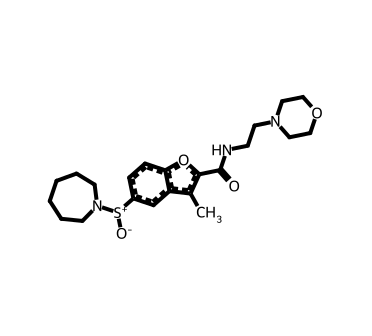 Cc1c(C(=O)NCCN2CCOCC2)oc2ccc([S+]([O-])N3CCCCCC3)cc12